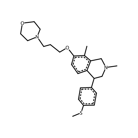 CSc1ccc(C2CN(C)Cc3c2ccc(OCCCN2CCOCC2)c3C)cc1